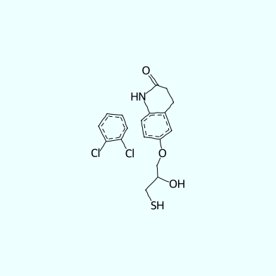 Clc1ccccc1Cl.O=C1CCc2cc(OCC(O)CS)ccc2N1